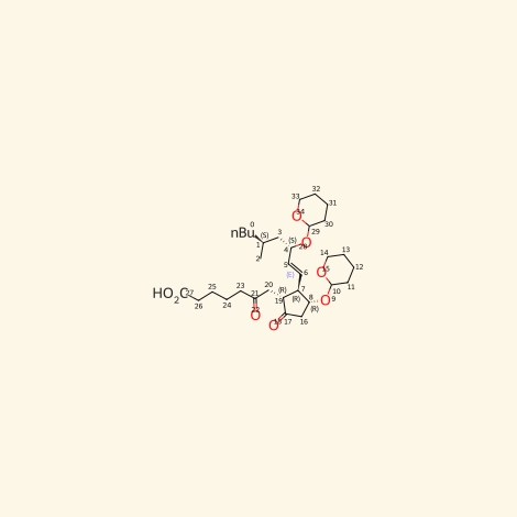 CCCC[C@H](C)C[C@@H](/C=C/[C@H]1[C@H](OC2CCCCO2)CC(=O)[C@@H]1CC(=O)CCCCC(=O)O)OC1CCCCO1